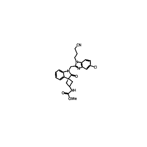 COC(=O)N[C@H]1C[C@]2(C1)C(=O)N(Cc1nc3cc(Cl)ccc3n1CCCC#N)c1ccccc12